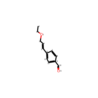 CCOCC=Cc1ccc(C=O)cc1